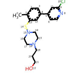 Cc1ccc(-c2ccnc(Cl)c2)cc1SN1CCN(CCCO)CC1